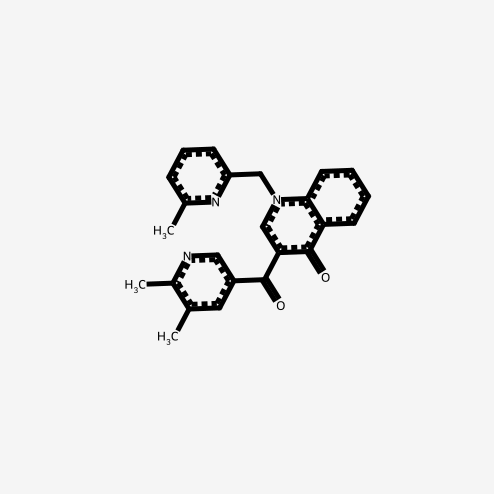 Cc1cccc(Cn2cc(C(=O)c3cnc(C)c(C)c3)c(=O)c3ccccc32)n1